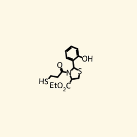 CCOC(=O)C1CSC(c2ccccc2O)N1C(=O)CCS